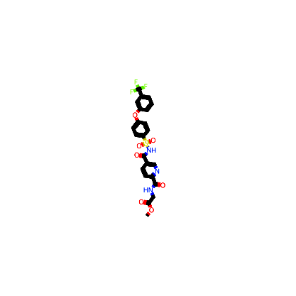 COC(=O)CNC(=O)c1ccc(C(=O)NS(=O)(=O)c2ccc(Oc3cccc(C(F)(F)F)c3)cc2)cn1